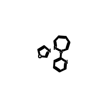 C1=CC=NN(c2ccccn2)C=C1.c1cocn1